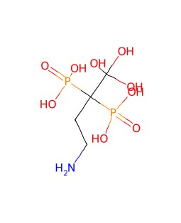 NCCC(C(O)(O)O)(P(=O)(O)O)P(=O)(O)O